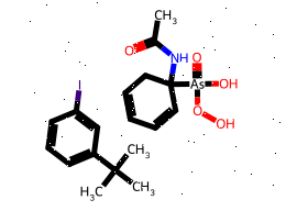 CC(=O)NC1([As](=O)(O)OO)C=CC=CC1.CC(C)(C)c1cccc(I)c1